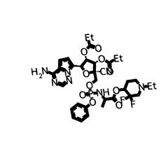 CCC(=O)O[C@H]1[C@H](c2ccc3c(N)ncnn23)O[C@](C#N)(COP(=O)(NC(C)C(=O)OC2CCN(CC)CC2(F)F)Oc2ccccc2)[C@H]1OC(=O)CC